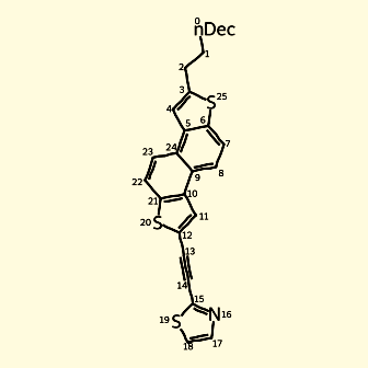 CCCCCCCCCCCCc1cc2c(ccc3c4cc(C#Cc5nccs5)sc4ccc23)s1